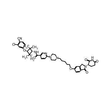 CC1(C)[C@H](NC(=O)c2ccc(N3CCN(CCCCCOc4ccc5c(c4)CN([C@H]4CCC(=O)NC4=O)C5=O)CC3)nc2)C(C)(C)[C@H]1Oc1ccc(C#N)c(Cl)c1